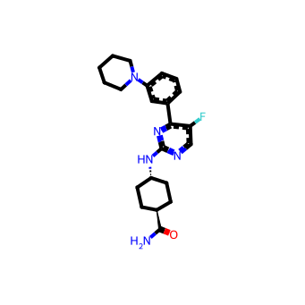 NC(=O)[C@H]1CC[C@H](Nc2ncc(F)c(-c3cccc(N4CCCCC4)c3)n2)CC1